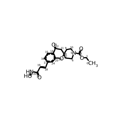 CCOC(=O)N1CCC2(CC1)CC(=O)c1ccc(/C=C/C(=O)NO)cc1O2